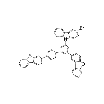 Brc1ccc2c(c1)c1ccccc1n2-c1cc(-c2ccc(-c3ccc4c(c3)sc3ccccc34)cc2)cc(-c2ccc3oc4ccccc4c3c2)c1